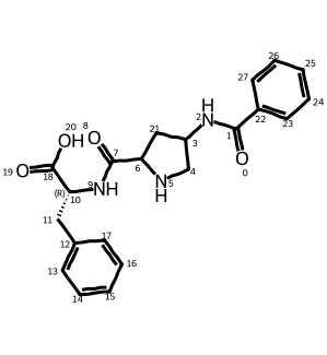 O=C(NC1CNC(C(=O)N[C@H](Cc2ccccc2)C(=O)O)C1)c1ccccc1